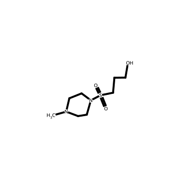 CN1CCN(S(=O)(=O)CCCO)CC1